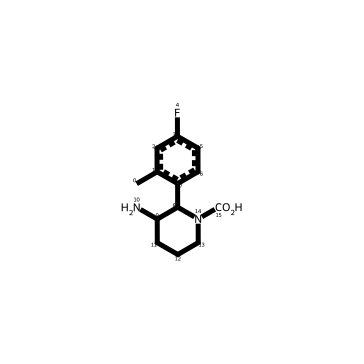 Cc1cc(F)ccc1C1C(N)CCCN1C(=O)O